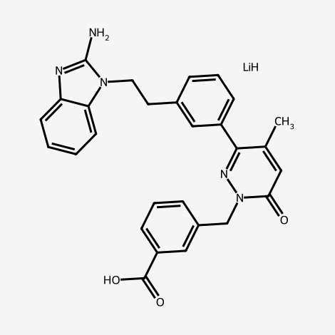 Cc1cc(=O)n(Cc2cccc(C(=O)O)c2)nc1-c1cccc(CCn2c(N)nc3ccccc32)c1.[LiH]